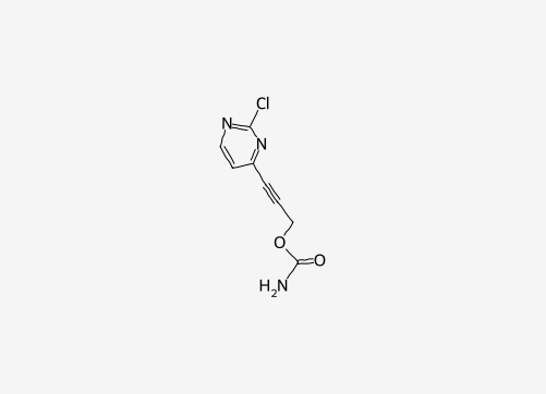 NC(=O)OCC#Cc1ccnc(Cl)n1